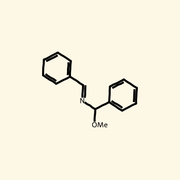 COC(N=Cc1ccccc1)c1ccccc1